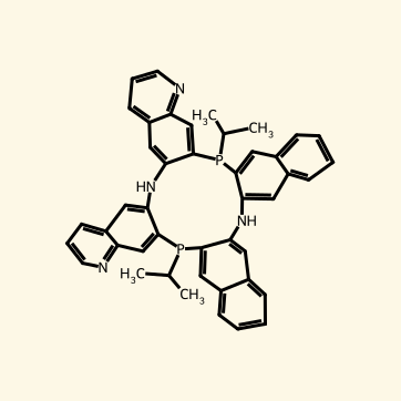 CC(C)P1c2cc3ccccc3cc2Nc2cc3ccccc3cc2P(C(C)C)c2cc3ncccc3cc2Nc2cc3cccnc3cc21